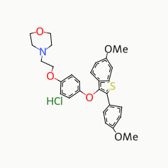 COc1ccc(-c2sc3cc(OC)ccc3c2Oc2ccc(OCCN3CCOCC3)cc2)cc1.Cl